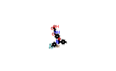 Cc1ccc(-c2cn(-c3ccc(C(F)(F)F)cc3Br)nc2Oc2ccc(C(=O)NCCC(=O)O)cc2)cc1